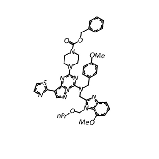 CCCOCn1c(CN(Cc2ccc(OC)cc2)c2nc(N3CCN(C(=O)OCc4ccccc4)CC3)nc3c(-c4nccs4)cnn23)nc2cccc(OC)c21